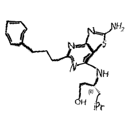 CC(C)C[C@H](CO)Nc1nc(CCCc2ccccc2)nc2nc(N)sc12